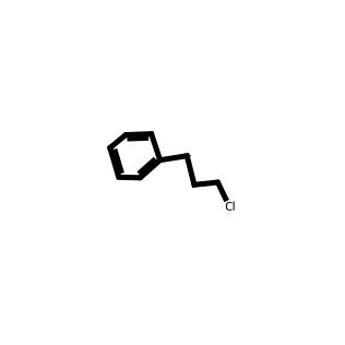 ClCC[CH]c1ccccc1